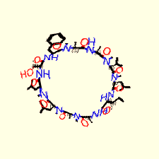 CC[C@H](C)[C@@H]1NC(=O)[C@H](CC(C)C)N(C)C(=O)[C@H](C(C)C)N(C)C(=O)[C@H](C)NC(=O)[C@H](C)N(C)C(=O)C(Cc2ccccc2)NC(=O)[C@H]([C@@H](C)O)NC(=O)C(CC(C)C)N(C)C(=O)[C@H](CC(C)C)N(C)C(=O)[C@H](C)N(C)C(=O)[C@H](C)NC1=O